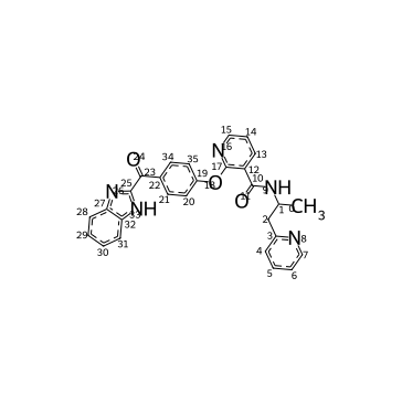 CC(Cc1ccccn1)NC(=O)c1cccnc1Oc1ccc(C(=O)c2nc3ccccc3[nH]2)cc1